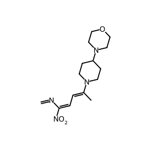 C=N/C(=C\C=C(/C)N1CCC(N2CCOCC2)CC1)[N+](=O)[O-]